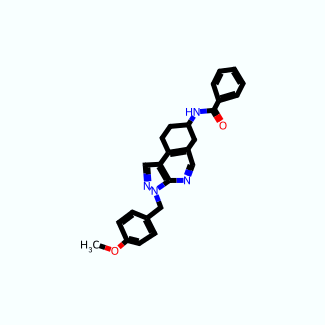 COc1ccc(Cn2ncc3c4c(cnc32)CC(NC(=O)c2ccccc2)CC4)cc1